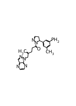 C=C(CCC(=O)N1N=CCC1c1cc(C)cc(P)c1)Cn1ncc2nccnc21